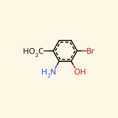 Nc1c(C(=O)O)ccc(Br)c1O